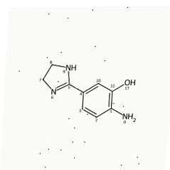 Nc1ccc(C2=NCCN2)cc1O